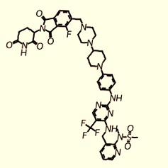 CN(c1ncccc1CNc1nc(Nc2ccc(N3CCC(N4CCN(Cc5ccc6c(c5F)C(=O)N(C5CCC(=O)NC5=O)C6=O)CC4)CC3)cc2)ncc1C(F)(F)F)S(C)(=O)=O